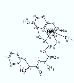 C[C@H](OC(=O)[C@@H](C)Cc1ccccc1)C(=O)OC1=CC[C@@]2(O)[C@H]3Cc4ccc(O)c5c4C2(CCN3C)C1O5